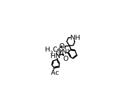 CC(=O)c1ccc(NC(=O)[N+]2(S(C)(=O)=O)CC3(CCNCC3)c3ccccc32)cc1